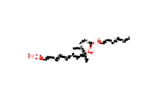 CCCCCCO[C@H](CC)OC(C)(CC)CCCCCCCO